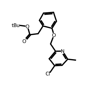 Cc1cc(Cl)cc(COc2ccccc2CC(=O)OC(C)(C)C)n1